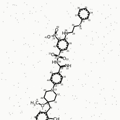 COC1(Cc2ccccc2C)CCN(c2ccc(C(=N)NS(=O)(=O)c3ccc(NCCSc4ccccc4)c([N+](=O)[O-])c3)cc2)CC1